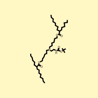 CCCCCCCCC(CCCCCC)C(=O)OCCCCCCN(CCCCCCOC(=O)C(CCCCCC)CCCCCCCC)CCNC(=O)OC(C)(C)C